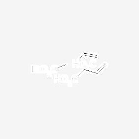 C=CC(=O)O.C=CCC(=O)O.CCOC(C)=O